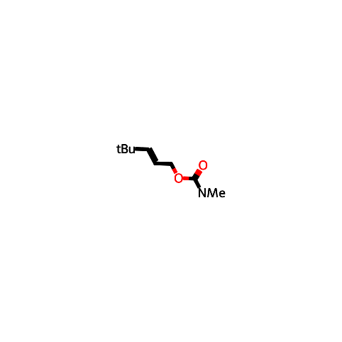 CNC(=O)OCC=CC(C)(C)C